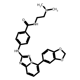 CN(C)CCNC(=O)c1ccc(Nc2nc3cccc(-c4ccc5c(c4)OCO5)n3n2)cc1